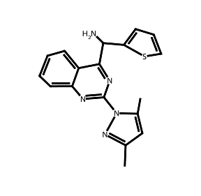 Cc1cc(C)n(-c2nc(C(N)c3cccs3)c3ccccc3n2)n1